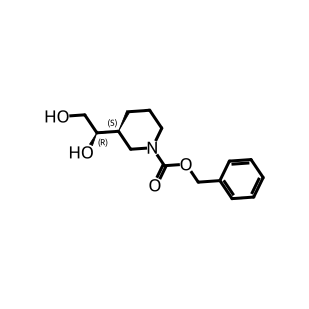 O=C(OCc1ccccc1)N1CCC[C@H]([C@@H](O)CO)C1